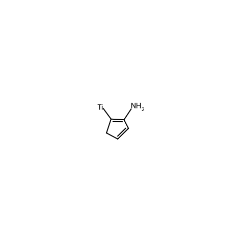 NC1=[C]([Ti])CC=C1